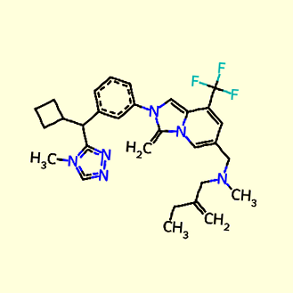 C=C(CC)CN(C)CC1=CN2C(=C)N(c3cccc(C(c4nncn4C)C4CCC4)c3)C=C2C(C(F)(F)F)=C1